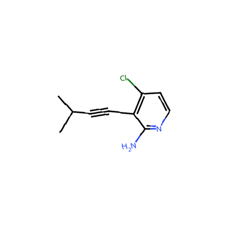 CC(C)C#Cc1c(Cl)ccnc1N